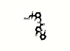 COCC(F)(F)c1cccc(CNC(=O)c2ccc(=O)n(-c3ccccc3F)n2)c1F